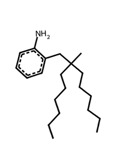 CCCCCCC(C)(CCCCCC)Cc1ccccc1N